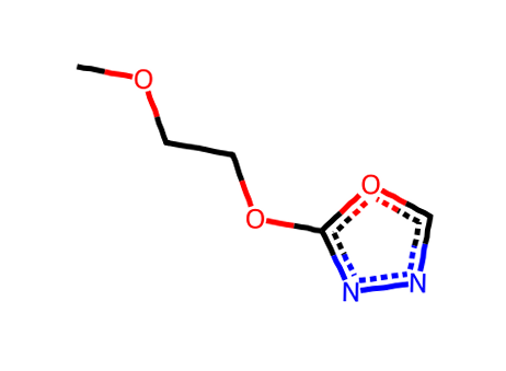 COCCOc1nnco1